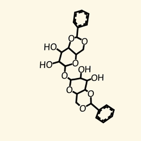 OC1C(OC2OC3COC(c4ccccc4)OC3C(O)C2O)OC2COC(c3ccccc3)OC2C1O